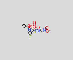 CC(C)(C)OC(=O)N1CCC(NC(=O)c2sc3c(c2O)c(=O)n(CC(=O)c2ccccc2)c2ccc(F)cc32)CC1